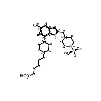 CCOC(=O)CCCCCN1CCN(c2nc(Cl)nc3cc(CN4CCN(S(C)(=O)=O)CC4)sc23)CC1